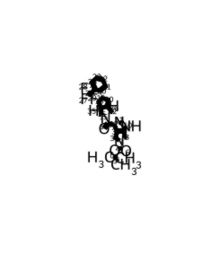 CC(C)(C)OC(=O)N1Cc2[nH]nc(C(=O)N3C[C@H]4C[C@H](c5ccccc5C(F)(F)F)C[C@H]4C3)c2C1